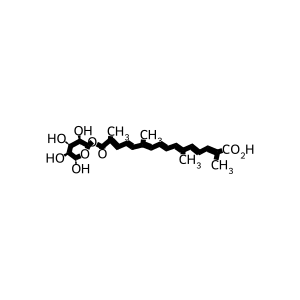 CC(/C=C/C=C(\C)C(=O)O)=C\C=C\C=C(C)\C=C\C=C(/C)C(=O)OC1O[C@H](O)[C@@H](O)[C@H](O)[C@H]1O